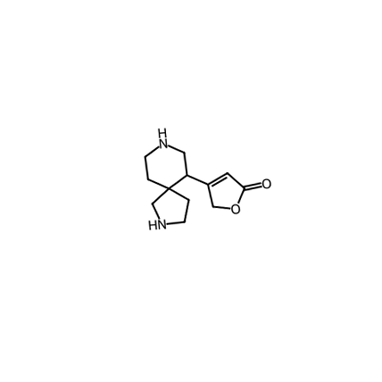 O=C1C=C(C2CNCCC23CCNC3)CO1